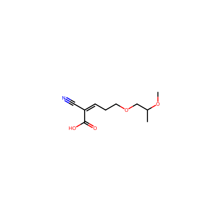 COC(C)COCCC=C(C#N)C(=O)O